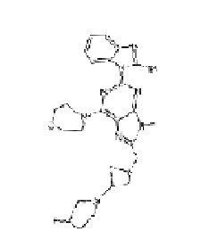 CCc1nc2ccccc2n1-c1nc(N2CCOCC2)c2nc(CN3CC(N4CCC(F)C4)C3)n(C)c2n1